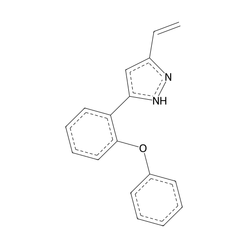 C=Cc1cc(-c2ccccc2Oc2ccccc2)[nH]n1